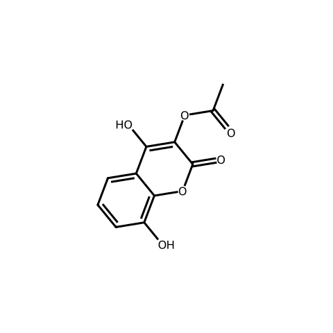 CC(=O)Oc1c(O)c2cccc(O)c2oc1=O